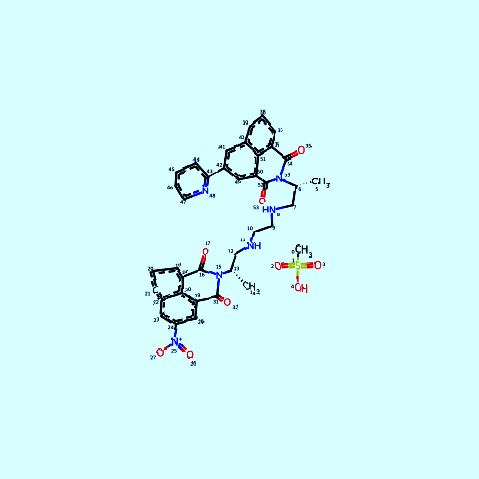 CS(=O)(=O)O.C[C@H](CNCCNC[C@H](C)N1C(=O)c2cccc3cc([N+](=O)[O-])cc(c23)C1=O)N1C(=O)c2cccc3cc(-c4ccccn4)cc(c23)C1=O